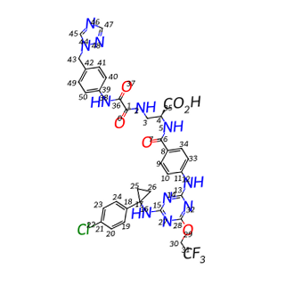 O=C(NC[C@H](NC(=O)c1ccc(Nc2nc(NC3(c4ccc(Cl)cc4)CC3)nc(OCC(F)(F)F)n2)cc1)C(=O)O)C(=O)Nc1ccc(Cn2cncn2)cc1